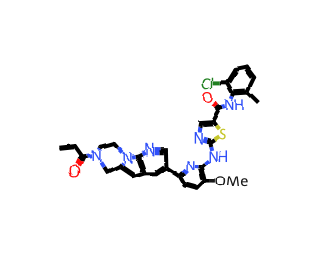 C=CC(=O)N1CCn2c(cc3cc(-c4ccc(OC)c(Nc5ncc(C(=O)Nc6c(C)cccc6Cl)s5)n4)cnc32)C1